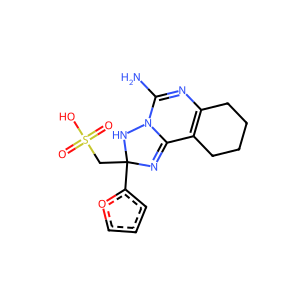 NC1=NC2=C(CCCC2)C2=NC(CS(=O)(=O)O)(c3ccco3)NN12